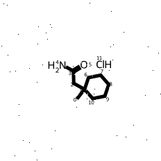 CC1(CC(N)=O)CCCCC1.Cl